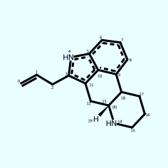 C=CCc1[nH]c2cccc3c2c1C[C@H]1NCCCC31